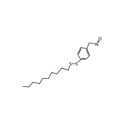 CCCCCCCCCCSSc1ccc(CN=O)cc1